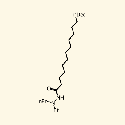 CCCCCCCCCCCCCCCCCCCCCC(=O)NN(CC)CCC